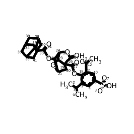 CC(C)c1cc(S(=O)(=O)O)cc(C(C)C)c1OC(=O)C12CC3OC1C(OC2=O)C3OC(=O)C12CC3CC(CC(C3)C1)C2